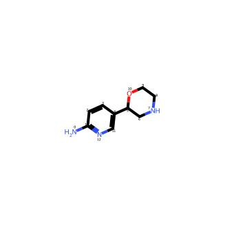 Nc1ccc(C2CNCCO2)cn1